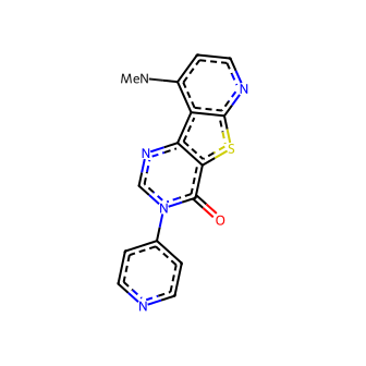 CNc1ccnc2sc3c(=O)n(-c4ccncc4)cnc3c12